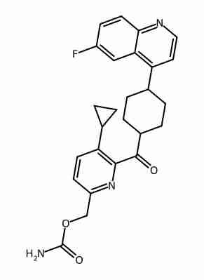 NC(=O)OCc1ccc(C2CC2)c(C(=O)C2CCC(c3ccnc4ccc(F)cc34)CC2)n1